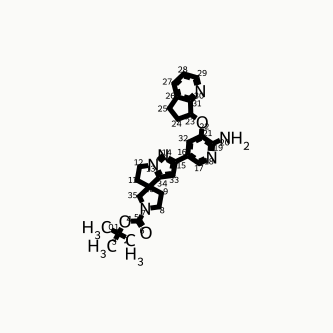 CC(C)(C)OC(=O)N1CCC2(CCn3nc(-c4cnc(N)c(OC5CCc6cccnc65)c4)cc32)C1